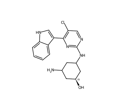 NC1CC(Nc2ncc(Cl)c(-c3c[nH]c4ccccc34)n2)C[C@@H](O)C1